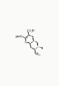 CCOC(=O)c1nc2cc(F)c([N+](=O)[O-])cc2nc1OC